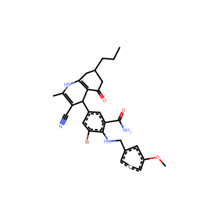 CCCC1CC(=O)C2=C(C1)NC(C)=C(C#N)C2c1cc(Br)c(NCc2cccc(OC)c2)c(C(N)=O)c1